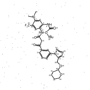 CN(C)c1cc(NC(=O)OC(C)(C)C)c(NC(=O)CC(=O)c2cccc(-n3nncc3COC3CCCCO3)c2)cc1C(F)(F)F